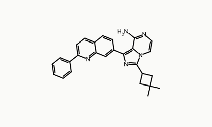 CC1(C)CC(c2nc(-c3ccc4ccc(-c5ccccc5)nc4c3)c3c(N)nccn23)C1